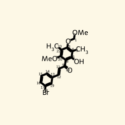 COCOc1c(C)c(O)c(C(=O)C=Cc2cccc(Br)c2)c(OC)c1C